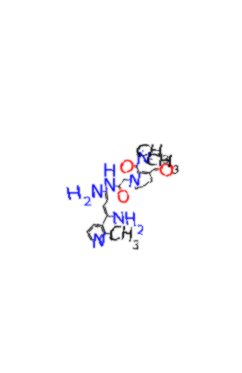 Cc1ncccc1/C(N)=C/C=C(\N)NC(=O)CN1CCCC(C=O)=C1C(=O)N(C)C